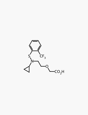 O=C(O)COCCN(Sc1ccccc1C(F)(F)F)C1CC1